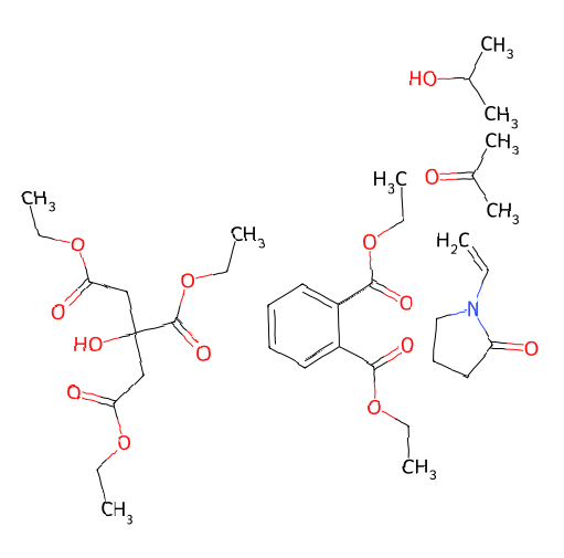 C=CN1CCCC1=O.CC(C)=O.CC(C)O.CCOC(=O)CC(O)(CC(=O)OCC)C(=O)OCC.CCOC(=O)c1ccccc1C(=O)OCC